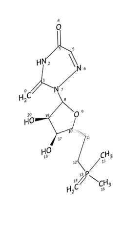 C=C1NC(=O)C=NN1C1O[C@H](CCP(=C)(C)C)[C@@H](O)[C@H]1O